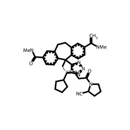 C=C(NC)c1ccc2c(c1)CCc1cc(C(=O)NC)ccc1C2(C[C@H](NCC(=O)N1CCCC1C#N)C1CCCC1)c1nnn[nH]1